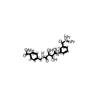 CCCN(CCC)C(=O)c1cccc(NC(=O)C(O)C(O)C(=O)NCc2ccc(C(=O)OC)cc2)c1